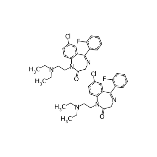 CCN(CC)CCN1C(=O)CN=C(c2ccccc2F)c2cc(Cl)ccc21.CCN(CC)CCN1C(=O)CN=C(c2ccccc2F)c2cc(Cl)ccc21